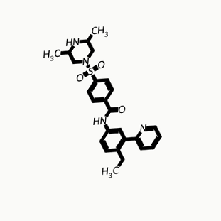 CCc1ccc(NC(=O)c2ccc(S(=O)(=O)N3CC(C)NC(C)C3)cc2)cc1-c1ccccn1